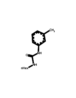 CCCCCCNC(=O)Nc1cccc(C)c1